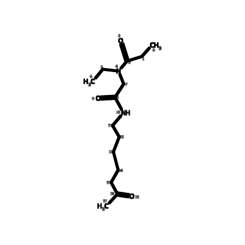 CCC(=O)N(CC)CC(=O)NCCCCCC(C)=O